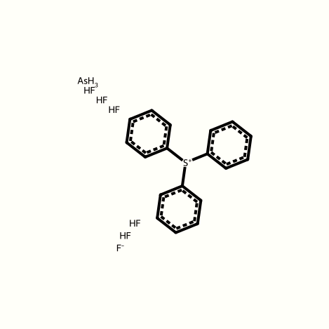 F.F.F.F.F.[AsH3].[F-].c1ccc([S+](c2ccccc2)c2ccccc2)cc1